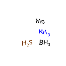 B.N.S.[Mo]